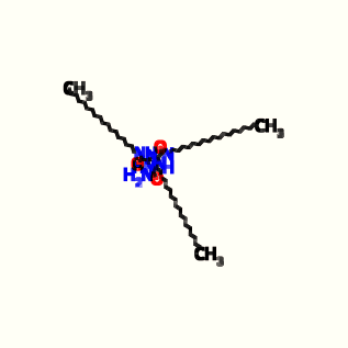 CCCCCCCCCCCCCCCCCCNC(=O)C1=NC(CCCCCCCCCCCCCCCCCC)(C(N)=O)NC(C(=O)NCCCCCCCCCCCCCCCCCC)=N1